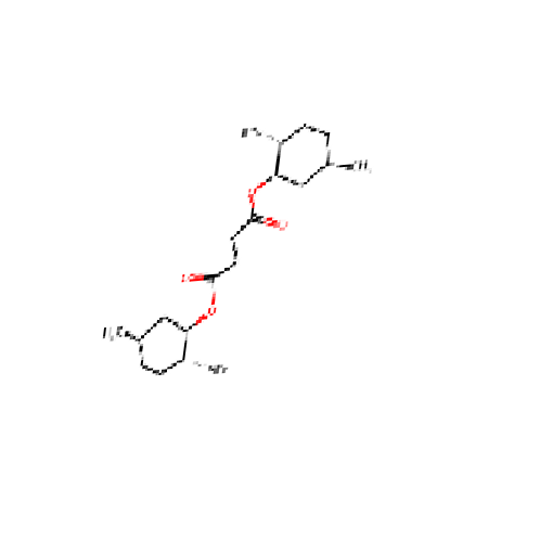 CC(C)[C@@H]1CC[C@@H](C)C[C@H]1OC(=O)CCC(=O)O[C@@H]1C[C@H](C)CC[C@H]1C(C)C